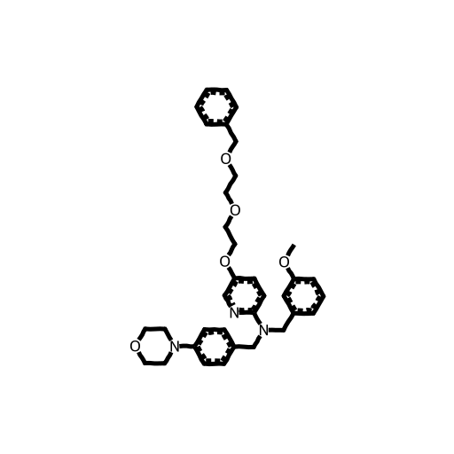 COc1cccc(CN(Cc2ccc(N3CCOCC3)cc2)c2ccc(OCCOCCOCc3ccccc3)cn2)c1